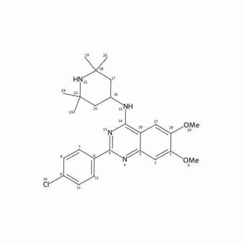 COc1cc2nc(-c3ccc(Cl)cc3)nc(NC3CC(C)(C)NC(C)(C)C3)c2cc1OC